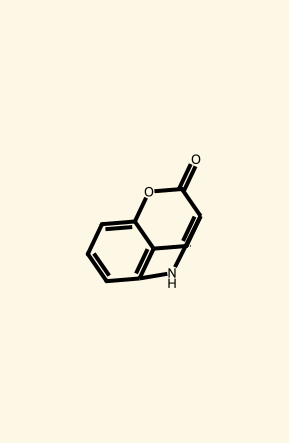 O=c1oc2cccc3[nH]c1[c]c32